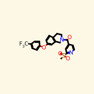 CS(=O)(=O)c1cc(C(=O)N2CCc3ccc(Oc4ccc(C(F)(F)F)cc4)cc3C2)ccn1